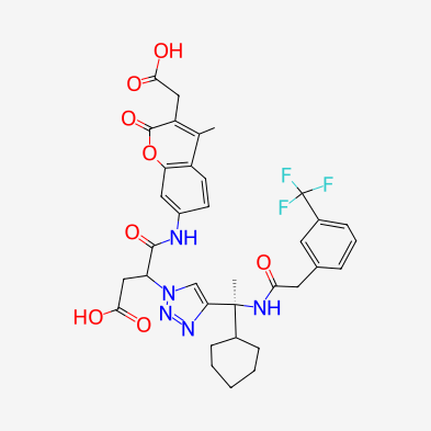 Cc1c(CC(=O)O)c(=O)oc2cc(NC(=O)C(CC(=O)O)n3cc([C@@](C)(NC(=O)Cc4cccc(C(F)(F)F)c4)C4CCCCC4)nn3)ccc12